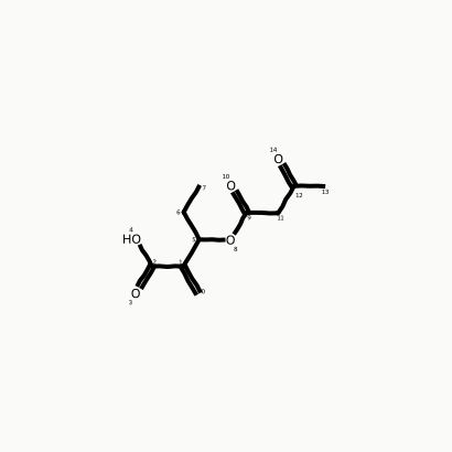 C=C(C(=O)O)C(CC)OC(=O)CC(C)=O